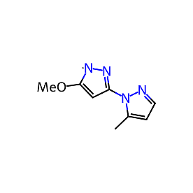 COC1=CC(n2nccc2C)=N[N]1